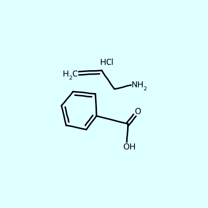 C=CCN.Cl.O=C(O)c1ccccc1